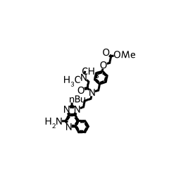 CCCCc1nc2c(N)nc3ccccc3c2n1CCCN(Cc1ccc(OCC(=O)OC)cc1)C(=O)CN(C)C